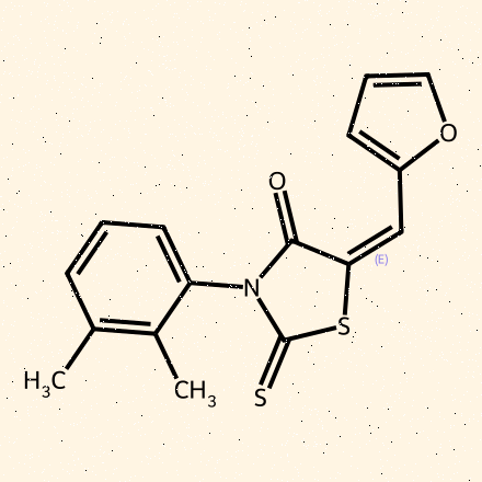 Cc1cccc(N2C(=O)/C(=C\c3ccco3)SC2=S)c1C